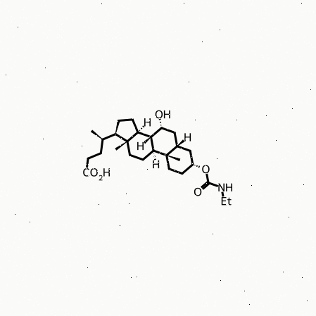 CCNC(=O)O[C@@H]1CC[C@@]2(C)[C@@H](C1)C[C@@H](O)[C@@H]1[C@@H]2CC[C@]2(C)[C@@H]([C@H](C)CCC(=O)O)CC[C@@H]12